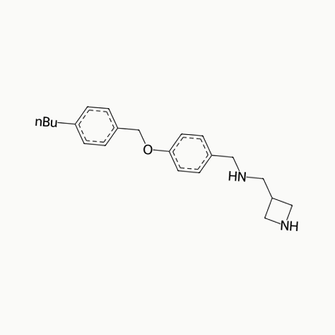 CCCCc1ccc(COc2ccc(CNCC3CNC3)cc2)cc1